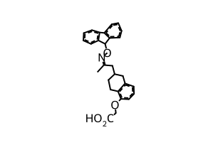 C/C(CC1CCc2c(cccc2OCC(=O)O)C1)=N/OC1c2ccccc2-c2ccccc21